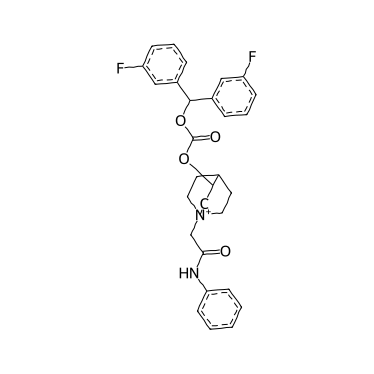 O=C(C[N+]12CCC(CC1)C(OC(=O)OC(c1cccc(F)c1)c1cccc(F)c1)C2)Nc1ccccc1